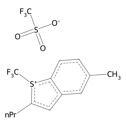 CCCc1cc2cc(C)ccc2[s+]1C(F)(F)F.O=S(=O)([O-])C(F)(F)F